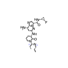 C=C/C=N\C(=C/C)n1cccc(Nc2cc(NC)c3ncc(C(=O)NC4CC4F)n3n2)c1=O